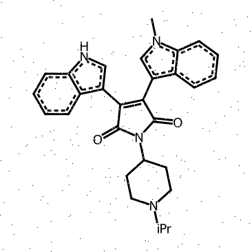 CC(C)N1CCC(N2C(=O)C(c3c[nH]c4ccccc34)=C(c3cn(C)c4ccccc34)C2=O)CC1